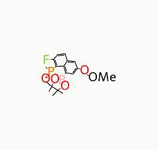 COCOc1cc(B2OC(C)(C)C(C)(C)O2)c2c(P(C)(C)=O)c(F)ccc2c1